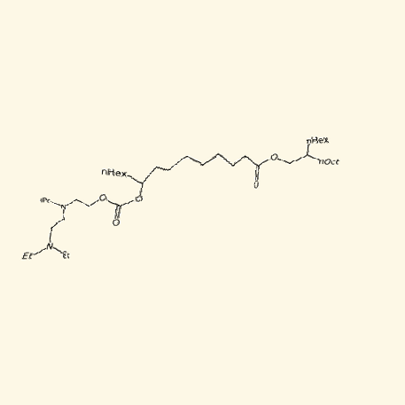 CCCCCCCCC(CCCCCC)COC(=O)CCCCCCCC(CCCCCC)OC(=O)OCCN(CCN(CC)CC)C(C)C